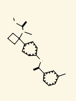 CN(C(=O)OC(C)(C)C)C1(c2ccc(NC(=O)c3cccc(Cl)c3)cc2)CCC1